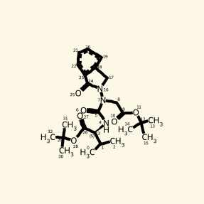 CC(C)[C@H](NC(=O)N(CC(=O)OC(C)(C)C)N1Cc2ccccc2C1=O)C(=O)OC(C)(C)C